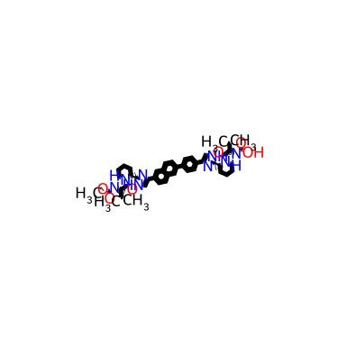 COC(=O)N[C@H](C(=O)N1CCCC[C@H]1c1nc(-c2ccc3cc(-c4ccc(-c5c[nH]c([C@@H]6CCCCN6C(=O)[C@@H](NC(=O)O)C(C)C)n5)cc4)ccc3c2)c[nH]1)C(C)C